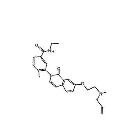 C=CCN(C)CCOc1ccc2ccn(-c3cc(C(=O)NCC)ccc3C)c(=O)c2c1